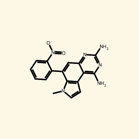 Cn1ccc2c3c(N)nc(N)nc3cc(-c3ccccc3[N+](=O)[O-])c21